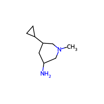 CN1CC(N)CC(C2CC2)C1